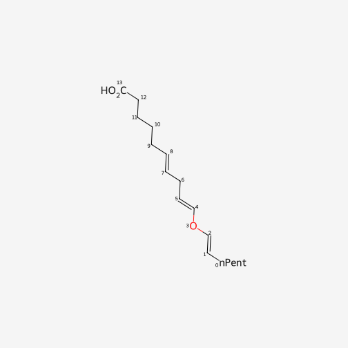 CCCCCC=COC=CCC=CCCCCC(=O)O